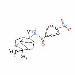 CC1(NC(=O)c2ccc([N+](=O)[O-])cc2)C2CC3CC1CN(C2)C3(C)C